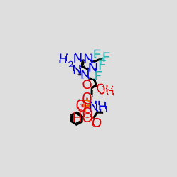 CC(NP(=O)(OCC1OC(n2cnc3c(N)nc(C(F)(F)F)nc32)C(F)C1O)Oc1ccccc1)C(=O)O